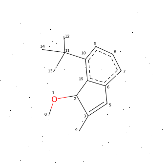 COC1C(C)=Cc2cccc(C(C)(C)C)c21